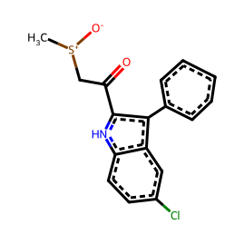 C[S+]([O-])CC(=O)c1[nH]c2ccc(Cl)cc2c1-c1ccccc1